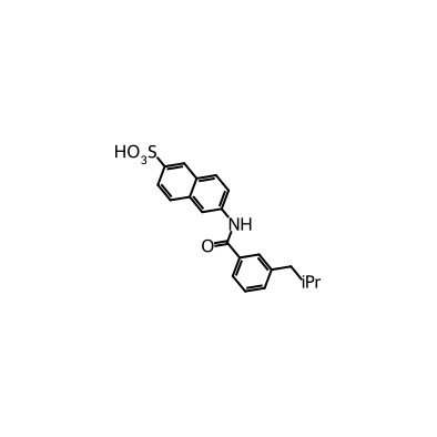 CC(C)Cc1cccc(C(=O)Nc2ccc3cc(S(=O)(=O)O)ccc3c2)c1